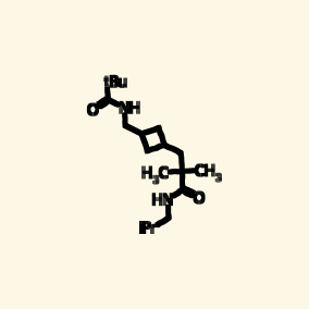 CC(C)CNC(=O)C(C)(C)CC1CC(CNC(=O)C(C)(C)C)C1